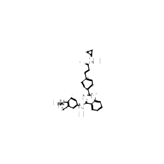 O=C(C=Cc1ccc(-c2nc(Nc3ccc4[nH]ncc4c3)c3ccccc3n2)cc1)NC1CC1